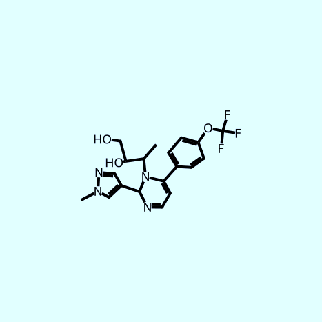 CC(C(O)CO)N1C(c2ccc(OC(F)(F)F)cc2)=CC=NC1c1cnn(C)c1